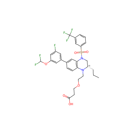 CCC[C@H]1CN(S(=O)(=O)c2cccc(C(F)(F)F)c2)c2cc(-c3cc(F)cc(OC(F)F)c3)ccc2N1CCOCCC(=O)O